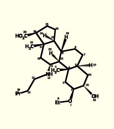 CCO[C@H]1C[C@@]2(C)[C@@H](CC[C@@H]3[C@@H]2[C@H](NCCC(C)C)C[C@]2(C)[C@@H](C(=O)O)CC[C@@H]32)C[C@@H]1O